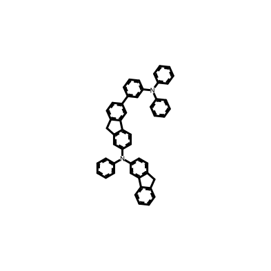 c1ccc(N(c2ccccc2)c2cccc(-c3ccc4c(c3)-c3ccc(N(c5ccccc5)c5ccc6c(c5)-c5ccccc5C6)cc3C4)c2)cc1